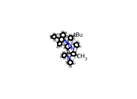 Cc1cc2c3c(c1)N(c1ccccc1)c1nc(N(c4ccc(C(C)(C)C)cc4)c4c5ccccc5c(-c5ccccc5)c5ccccc45)ccc1B3c1ccccc1N2c1ccccc1